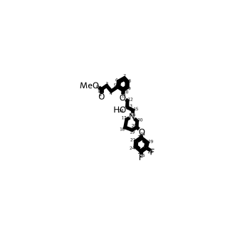 COC(=O)CCc1ccccc1OCC(O)CN1CCCC(Oc2ccc(F)c(F)c2)C1